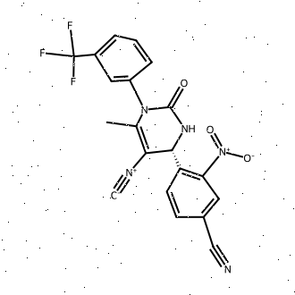 [C-]#[N+]C1=C(C)N(c2cccc(C(F)(F)F)c2)C(=O)N[C@@H]1c1ccc(C#N)cc1[N+](=O)[O-]